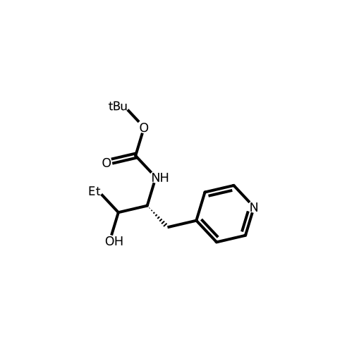 CCC(O)[C@@H](Cc1ccncc1)NC(=O)OC(C)(C)C